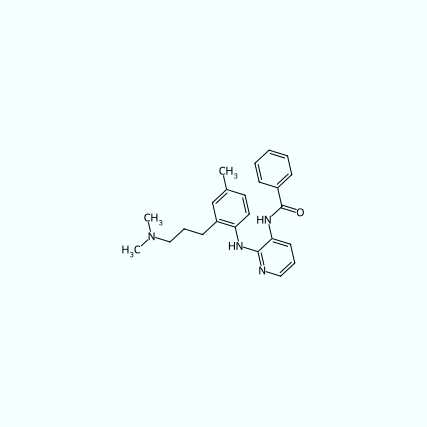 Cc1ccc(Nc2ncccc2NC(=O)c2ccccc2)c(CCCN(C)C)c1